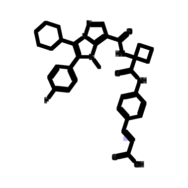 Cn1c(-c2ccc(F)cc2)c(C2CCCCC2)n2ncc(C(=O)NC3(C(=O)Nc4ccc(/C=C/C(=O)O)cc4)CCC3)c12